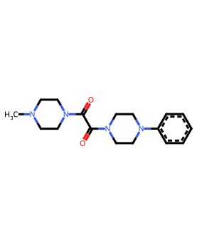 CN1CCN(C(=O)C(=O)N2CCN(c3ccccc3)CC2)CC1